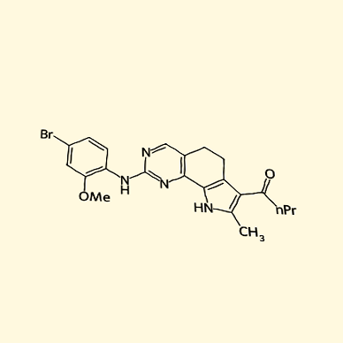 CCCC(=O)c1c(C)[nH]c2c1CCc1cnc(Nc3ccc(Br)cc3OC)nc1-2